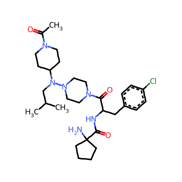 CC(=O)N1CCC(N(CC(C)C)N2CCN(C(=O)C(Cc3ccc(Cl)cc3)NC(=O)C3(N)CCCC3)CC2)CC1